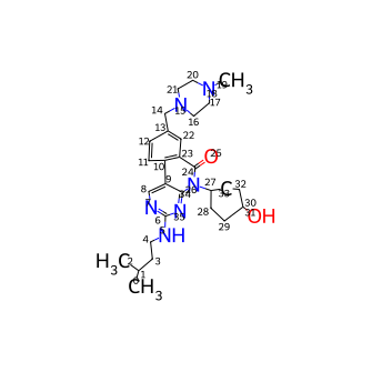 CC(C)CCNc1ncc2c3ccc(CN4CCN(C)CC4)cc3c(=O)n(C3CCC(O)CC3)c2n1